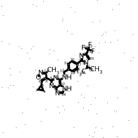 Cc1noc(C2CC2)c1-c1nc(NCc2ccc(-c3nc(C(F)(F)F)cn3C(C)C)cc2)c2[nH]cnc2n1